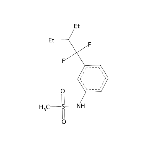 CCC(CC)C(F)(F)c1cccc(NS(C)(=O)=O)c1